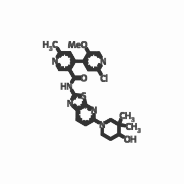 COc1cnc(Cl)cc1-c1cc(C)ncc1C(=O)Nc1nc2ccc(N3CCC(O)C(C)(C)C3)nc2s1